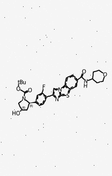 CC(C)(C)OC(=O)N1C[C@H](O)C[C@@H]1c1ccc(-c2cn3c(n2)sc2cc(C(=O)NC4CCOCC4)ccc23)c(F)c1